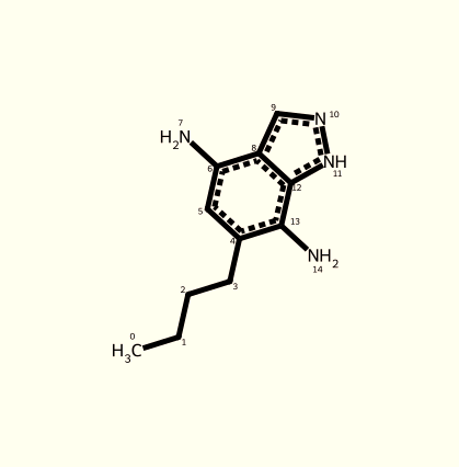 CCCCc1cc(N)c2cn[nH]c2c1N